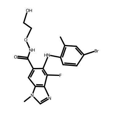 Cc1cc(Br)ccc1Nc1c(C(=O)NOCCO)cc2c(ncn2C)c1F